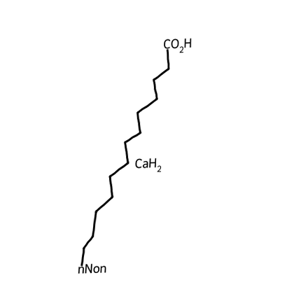 CCCCCCCCCCCCCCCCCCCCCC(=O)O.[CaH2]